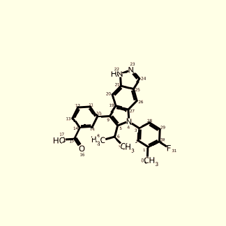 Cc1cc(-n2c(C(C)C)c(-c3cccc(C(=O)O)c3)c3cc4[nH]ncc4cc32)ccc1F